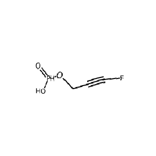 O=[PH](O)OCC#CF